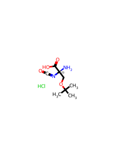 CC(C)(C)OC[C@](N)(N=C=O)C(=O)O.Cl